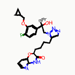 CCCC(O)(Cn1nncc1CCCCC1Oc2cccnc2NC1=O)c1ccc(F)c(OCC2CC2)c1